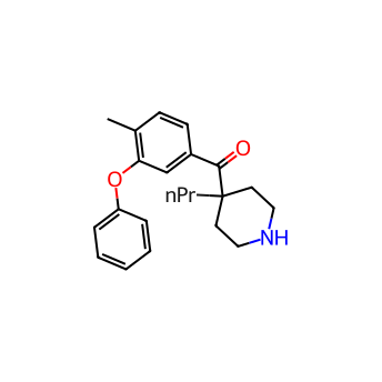 CCCC1(C(=O)c2ccc(C)c(Oc3ccccc3)c2)CCNCC1